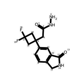 NNC(=O)CC1(c2ccc3c(c2)C(=O)NC3)CC(F)(F)C1